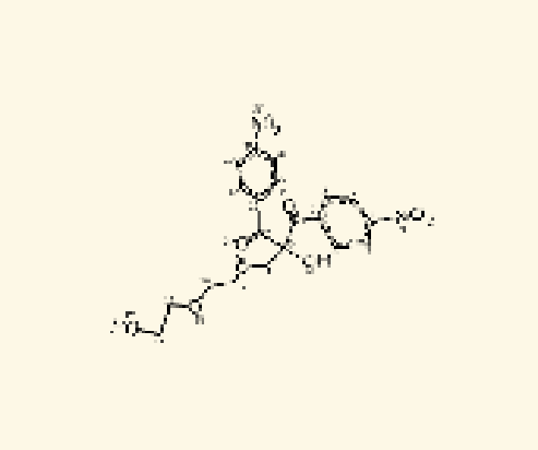 O=C(c1ccc([N+](=O)[O-])cc1)C(O)(COCCOCCO)C(=O)c1ccc([N+](=O)[O-])cc1